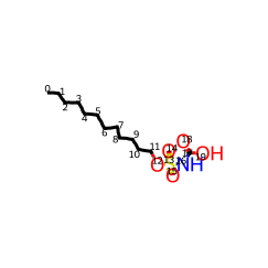 CCCCCCCCCCCCOS(=O)(=O)NC(=O)O